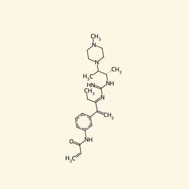 C=CC(=O)Nc1cccc(C(=C)/C(CC)=N/C(=N)N[C@@H](C)C(C)N2CCN(C)CC2)c1